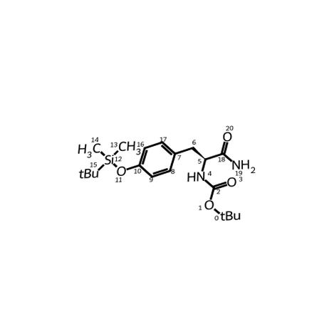 CC(C)(C)OC(=O)N[C@@H](Cc1ccc(O[Si](C)(C)C(C)(C)C)cc1)C(N)=O